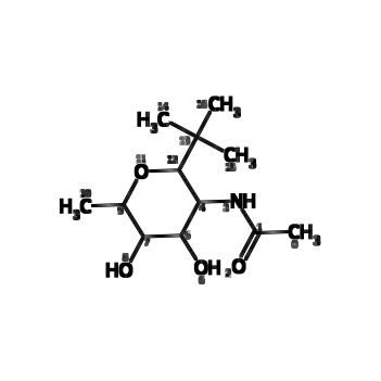 CC(=O)NC1C(O)C(O)C(C)OC1C(C)(C)C